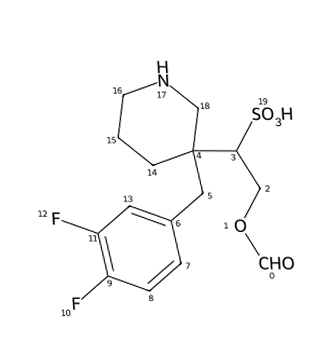 O=COCC(C1(Cc2ccc(F)c(F)c2)CCCNC1)S(=O)(=O)O